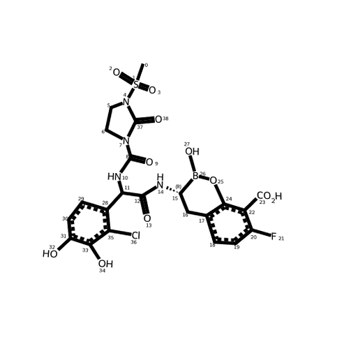 CS(=O)(=O)N1CCN(C(=O)NC(C(=O)N[C@H]2Cc3ccc(F)c(C(=O)O)c3OB2O)c2ccc(O)c(O)c2Cl)C1=O